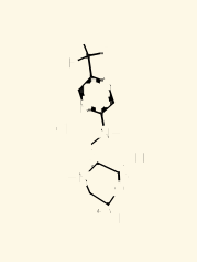 C[C@@H]1CN[C@H](CNc2cnc(C(F)(F)F)cn2)[C@H](C)O1.Cl